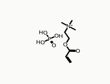 C=CC(=O)OCC[N+](C)(C)C.O=P(O)(O)O